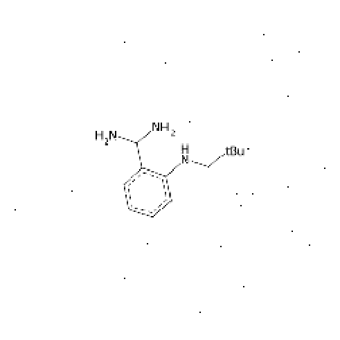 CC(C)(C)CNc1ccccc1C(N)N